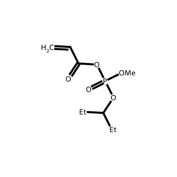 C=CC(=O)OP(=O)(OC)OC(CC)CC